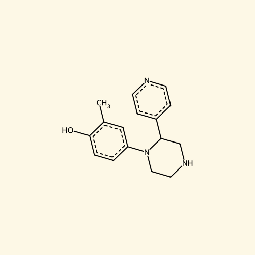 Cc1cc(N2CCNCC2c2ccncc2)ccc1O